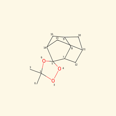 CC1(C)OOC2(O1)C1CC3CC(C1)CC2C3